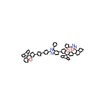 c1ccc(-c2nnc(-c3c(-c4ccc5c(c4)Oc4ccc(-c6ccc7nc(-c8ccc(-c9ccc(-c%10ccc%11c(c%10)Oc%10ccccc%10C%11%10c%11ccccc%11-c%11ccccc%11%10)cc9)cc8)nc(-c8ccccc8)c7c6)cc4C54c5ccccc5-c5ccccc54)ccc4ccccc34)o2)cc1